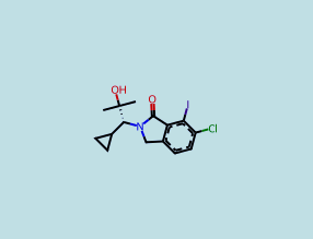 CC(C)(O)[C@@H](C1CC1)N1Cc2ccc(Cl)c(I)c2C1=O